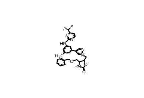 Cc1cc(Nc2nccc(C(F)F)n2)cc(-c2cnn(CC3OC(=O)NC3COCc3ccccc3)c2)c1